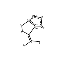 CC(C)=C1CCc2ncsc21